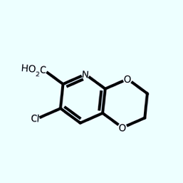 O=C(O)c1nc2c(cc1Cl)OCCO2